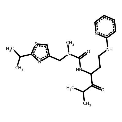 CC(C)C(=O)C(CCNc1ccccn1)NC(=O)N(C)Cc1csc(C(C)C)n1